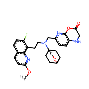 COc1ccc2ccc(F)c(CCN(Cc3ccc4c(n3)OC(=O)CN4)C34CCC(CC3)OC4)c2n1